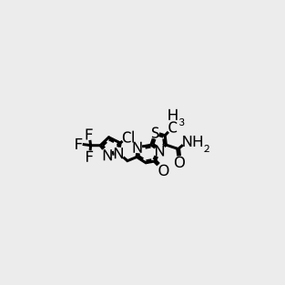 Cc1sc2nc(Cn3nc(C(F)(F)F)cc3Cl)cc(=O)n2c1C(N)=O